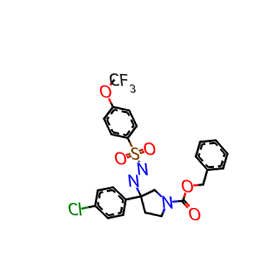 O=C(OCc1ccccc1)N1CCC(N=NS(=O)(=O)c2ccc(OC(F)(F)F)cc2)(c2ccc(Cl)cc2)C1